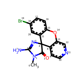 CN1C(=O)C2(N=C1N)c1ccncc1Oc1ccc(Br)cc12